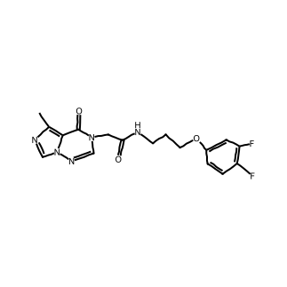 Cc1ncn2ncn(CC(=O)NCCCOc3ccc(F)c(F)c3)c(=O)c12